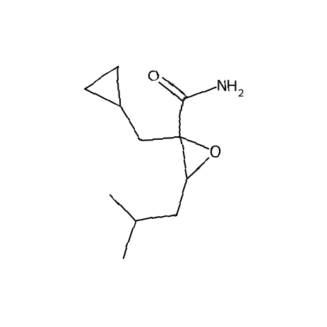 CC(C)CC1OC1(CC1CC1)C(N)=O